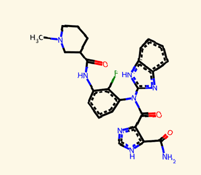 CN1CCCC(C(=O)Nc2cccc(N(C(=O)c3nc[nH]c3C(N)=O)c3nc4ccccc4[nH]3)c2F)C1